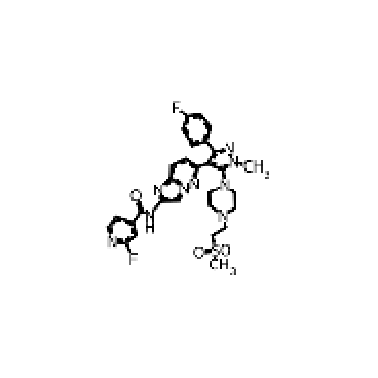 Cn1nc(-c2ccc(F)cc2)c(-c2ccc3nc(NC(=O)c4ccnc(F)c4)cn3n2)c1N1CCN(CCS(C)(=O)=O)CC1